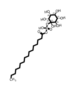 CCCCCCCCCCCCCCCC(=O)OP(=O)(O)O[C@]1(O)[C@H](O)[C@H](O)[C@@H](O)[C@H](O)[C@H]1O